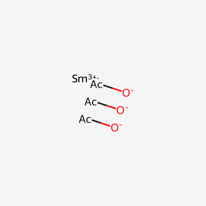 CC(=O)[O-].CC(=O)[O-].CC(=O)[O-].[Sm+3]